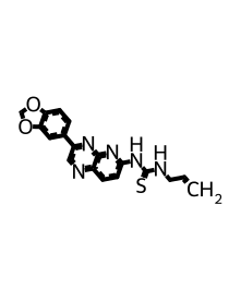 C=CCNC(=S)Nc1ccc2ncc(-c3ccc4c(c3)OCO4)nc2n1